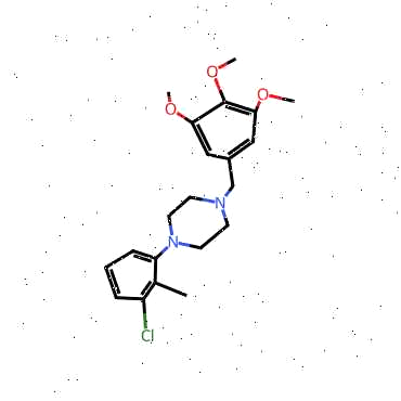 COc1cc(CN2CCN(c3cccc(Cl)c3C)CC2)cc(OC)c1OC